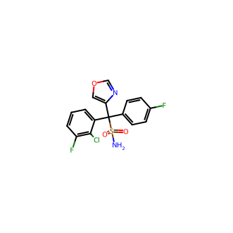 NS(=O)(=O)C(c1ccc(F)cc1)(c1cocn1)c1cccc(F)c1Cl